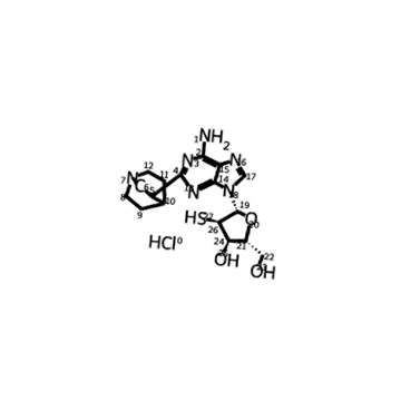 Cl.Nc1nc(C2CN3CCC2CC3)nc2c1ncn2[C@@H]1O[C@H](CO)[C@@H](O)[C@H]1S